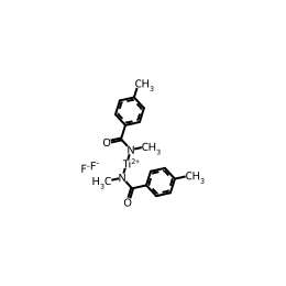 Cc1ccc(C(=O)[N](C)[Ti+2][N](C)C(=O)c2ccc(C)cc2)cc1.[F-].[F-]